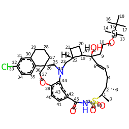 C[C@@H]1[C@@H](C)C/C=C/[C@@](O)(CCO[Si](C)(C)C(C)(C)C)[C@@H]2CC[C@H]2CN2C[C@@]3(CCCc4cc(Cl)ccc43)COc3ccc(cc32)C(=O)NS1(=O)=O